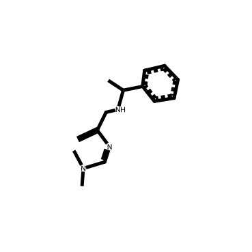 C=C(CNC(C)c1ccccc1)/N=C\N(C)C